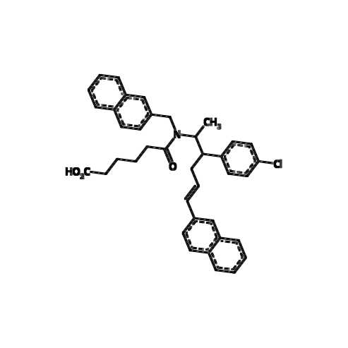 CC(C(CC=Cc1ccc2ccccc2c1)c1ccc(Cl)cc1)N(Cc1ccc2ccccc2c1)C(=O)CCCCC(=O)O